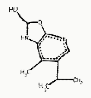 Cc1c(C(C)C)cnc2c1NC(O)O2